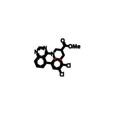 COC(=O)C1CCCN(c2ncnc3cccc(-c4ccc(Cl)c(Cl)c4)c23)C1